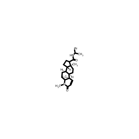 CC(C)C(C)NC(=O)C1CC[C@H]2[C@@H]3CCC4N(C)C(=O)C=C[C@]4(C)[C@@H]3CC[C@]12C